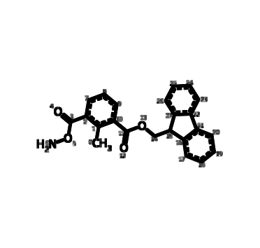 Cc1c(C(=O)ON)cccc1C(=O)OCC1c2ccccc2-c2ccccc21